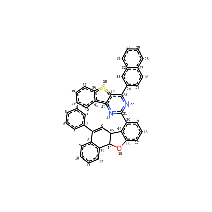 C1=C(c2ccccc2)c2ccccc2C2Oc3cccc(-c4nc(-c5ccc6ccccc6c5)c5sc6ccccc6c5n4)c3C12